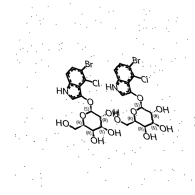 OC[C@H]1O[C@@H](Oc2c[nH]c3ccc(Br)c(Cl)c23)[C@H](O)[C@@H](O)[C@H]1O.OC[C@H]1O[C@@H](Oc2c[nH]c3ccc(Br)c(Cl)c23)[C@H](O)[C@@H](O)[C@H]1O